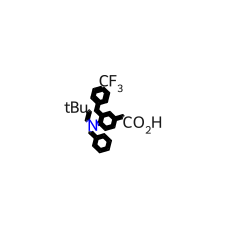 CC(C)(C)CCN(CC1CCCCC1)C1CCC(CC(=O)O)CC1Cc1ccc(C(F)(F)F)cc1